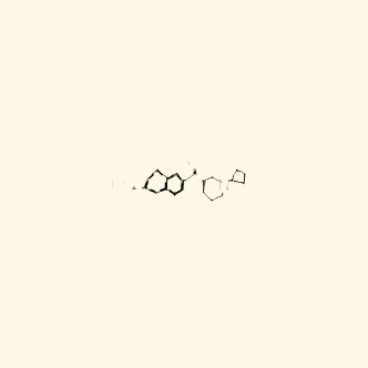 COc1ccc2cc(C(=O)[C@H]3CCCN(C4CCC4)C3)ccc2c1